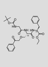 CCOC(=O)[C@H](Cc1ccccc1)NC(=O)[C@H](COCC(=O)c1ccccc1)NC(=O)CNC(=O)OC(C)(C)C